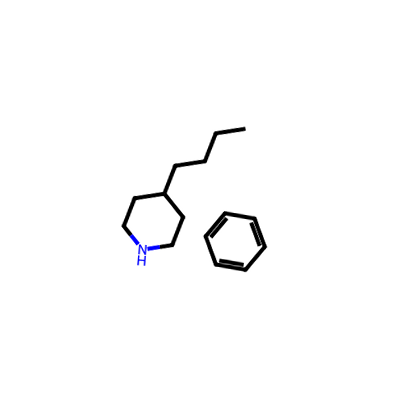 CCCCC1CCNCC1.c1ccccc1